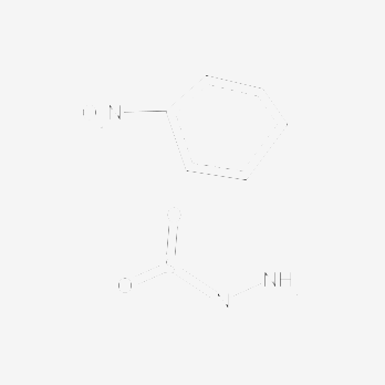 NN=S(=O)=O.O=[N+]([O-])c1ccccc1